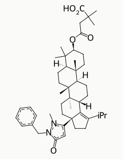 CC(C)C1=C2[C@H]3CC[C@@H]4[C@@]5(C)CC[C@H](OC(=O)CC(C)(C)C(=O)O)C(C)(C)[C@@H]5CC[C@@]4(C)[C@]3(C)CC[C@@]2(c2cc(=O)n(Cc3ccccc3)n2C)CC1